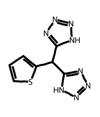 c1csc(C(c2nnn[nH]2)c2nnn[nH]2)c1